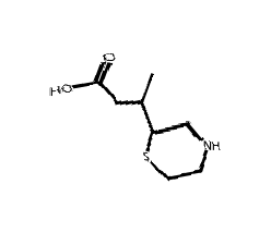 CC(CC(=O)O)C1CNCCS1